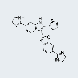 c1csc(-c2[nH]c3cc(C4=NCCN4)ccc3c2-c2cc3ccc(C4=NCCN4)cc3o2)c1